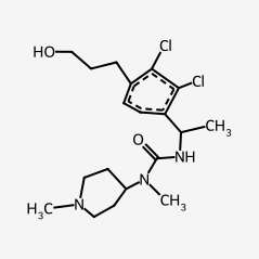 CC(NC(=O)N(C)C1CCN(C)CC1)c1ccc(CCCO)c(Cl)c1Cl